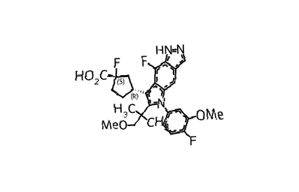 COCC(C)(C)c1c([C@@H]2CC[C@@](F)(C(=O)O)C2)c2c(F)c3[nH]ncc3cc2n1-c1ccc(F)c(OC)c1